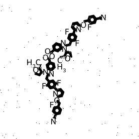 CC[C@@H]1OCC[C@H]1n1c(Cc2cc(F)c(-c3cccc(OCc4ccc(C#N)cc4F)n3)cc2F)nc2ccc(C(=O)OC(=O)c3ccc4nc(Cc5cc(F)c(-c6cccc(OCc7ccc(C#N)cc7F)n6)cc5F)n([C@@H]5CCO[C@H]5CC)c4c3)cc21